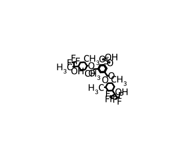 CC1CC(C(C)(O)C(F)(F)F)CC(C)C1OC(=O)c1cc(C(=O)OC2C(C)CC(C(O)(C(F)(F)F)C(F)(F)F)CC2C)cc(S(=O)(=O)O)c1